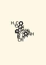 C#CCOc1cccc(-n2c(C(C)Nc3nc(N)nc4[nH]cnc34)nc3cccc(C)c3c2=O)c1